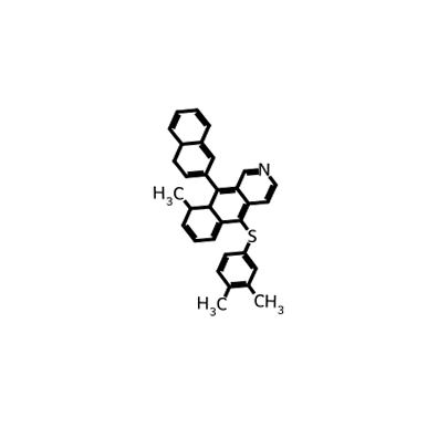 Cc1ccc(SC2=c3ccncc3=C(C3=CCC4C=CC=CC4=C3)C3C2=CC=CC3C)cc1C